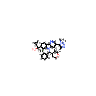 Cc1nnn(C)c1-c1cnc2c3ccc(C(C)(O)C4CC4)c(F)c3n(C(c3ccccc3)C3CCOCC3)c2c1